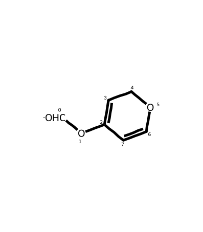 O=[C]OC1=CCOC=C1